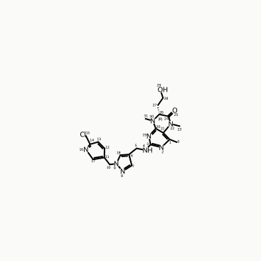 Cc1nc(NCc2cnn(Cc3ccc(Cl)nc3)c2)nc2c1N(C)C(=O)[C@@H](CCO)N2C